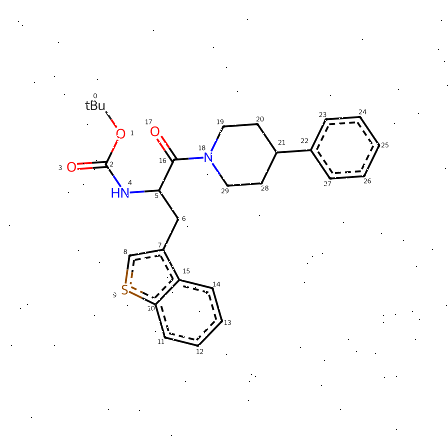 CC(C)(C)OC(=O)NC(Cc1csc2ccccc12)C(=O)N1CCC(c2ccccc2)CC1